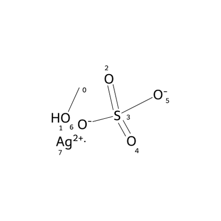 CO.O=S(=O)([O-])[O-].[Ag+2]